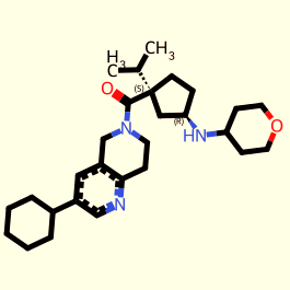 CC(C)[C@]1(C(=O)N2CCc3ncc(C4CCCCC4)cc3C2)CC[C@@H](NC2CCOCC2)C1